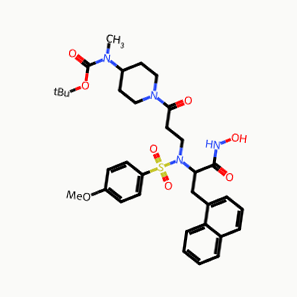 COc1ccc(S(=O)(=O)N(CCC(=O)N2CCC(N(C)C(=O)OC(C)(C)C)CC2)C(Cc2cccc3ccccc23)C(=O)NO)cc1